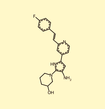 Nc1cc(-c2ccnc(/C=C/c3ccc(F)cc3)c2)[nH]c1N1CCCC(O)C1